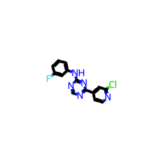 Fc1cccc(Nc2ncnc(-c3ccnc(Cl)c3)n2)c1